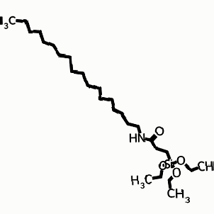 CCCCCCCCCCCCCCCCCCNC(=O)CC[Si](OCC)(OCC)OCC